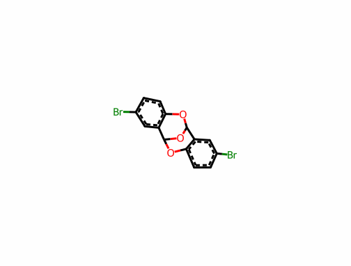 Brc1ccc2c(c1)C1Oc3ccc(Br)cc3C(O2)O1